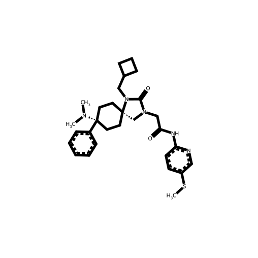 CSc1ccc(NC(=O)CN2C[C@]3(CC[C@@](c4ccccc4)(N(C)C)CC3)N(CC3CCC3)C2=O)nc1